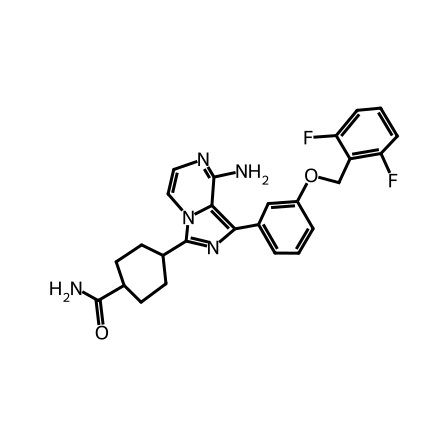 NC(=O)C1CCC(c2nc(-c3cccc(OCc4c(F)cccc4F)c3)c3c(N)nccn23)CC1